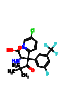 CC(C)(C)C(=O)C(c1cc(F)cc(C(F)(F)F)c1)(c1ccc(Cl)cn1)C(N)C(=O)O